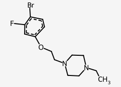 CCN1CCN(CCOc2ccc(Br)c(F)c2)CC1